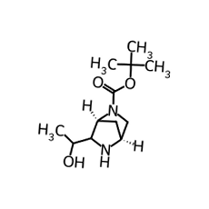 CC(O)C1N[C@H]2C[C@@H]1N(C(=O)OC(C)(C)C)C2